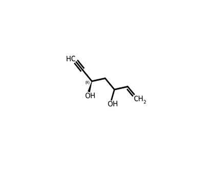 C#C[C@H](O)CC(O)C=C